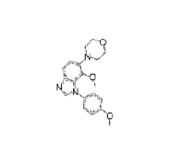 COc1ccc(-n2cnc3ccc(N4CCOCC4)c(OC)c32)cc1